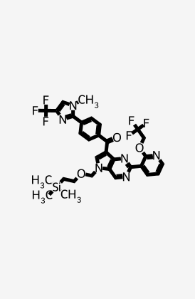 Cn1cc(C(F)(F)F)nc1-c1ccc(C(=O)c2cn(COCC[Si](C)(C)C)c3cnc(-c4cccnc4OCC(F)(F)F)nc23)cc1